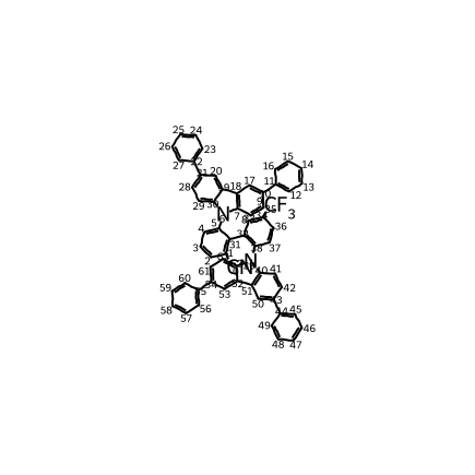 N#Cc1cccc(-n2c3ccc(-c4ccccc4)cc3c3cc(-c4ccccc4)ccc32)c1-c1cc(C(F)(F)F)ccc1-n1c2ccc(-c3ccccc3)cc2c2cc(-c3ccccc3)ccc21